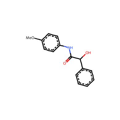 COc1ccc(NC(=O)C(O)c2ccccc2)cc1